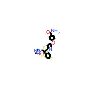 NC(=O)c1ccc(Oc2ccc(C(F)(F)C(O)(Cn3cncn3)c3ccc(F)cc3F)nc2)cc1